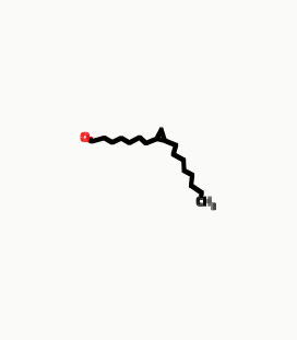 CCCCCCCCC1CC1CCCCCCC=O